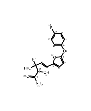 CC(F)(C=Cc1ccc(Oc2ccc(F)cc2)o1)N(O)C(N)=O